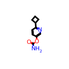 NC(=O)Oc1ccc(C2CCC2)nc1